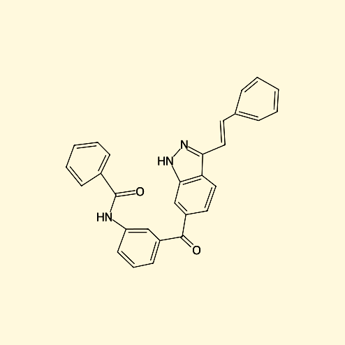 O=C(Nc1cccc(C(=O)c2ccc3c(C=Cc4ccccc4)n[nH]c3c2)c1)c1ccccc1